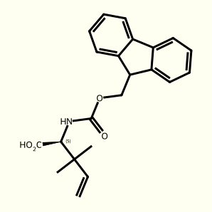 C=CC(C)(C)[C@H](NC(=O)OCC1c2ccccc2-c2ccccc21)C(=O)O